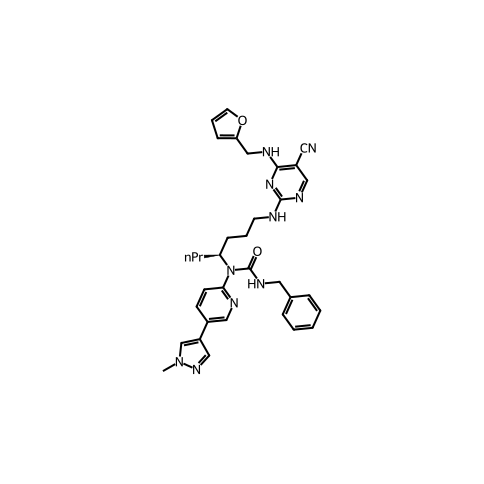 CCC[C@@H](CCCNc1ncc(C#N)c(NCc2ccco2)n1)N(C(=O)NCc1ccccc1)c1ccc(-c2cnn(C)c2)cn1